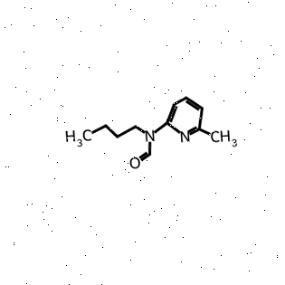 CCCCN(C=O)c1cccc(C)n1